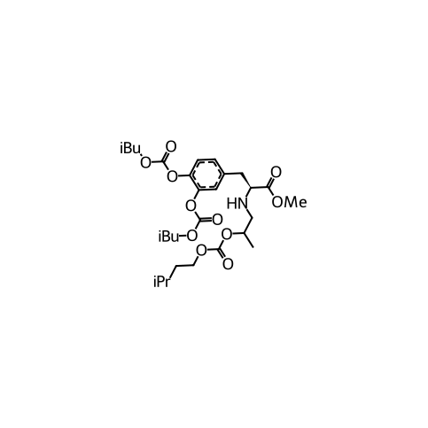 CCC(C)OC(=O)Oc1ccc(C[C@H](NCC(C)OC(=O)OCCC(C)C)C(=O)OC)cc1OC(=O)OC(C)CC